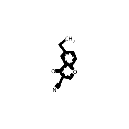 CCc1ccc2occ(C#N)c(=O)c2c1